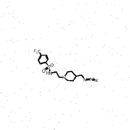 [N-]=[N+]=NCC1CCN(CCNS(=O)(=O)c2ccc(C(F)(F)F)cc2)CC1